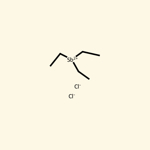 C[CH2][Sb+2]([CH2]C)[CH2]C.[Cl-].[Cl-]